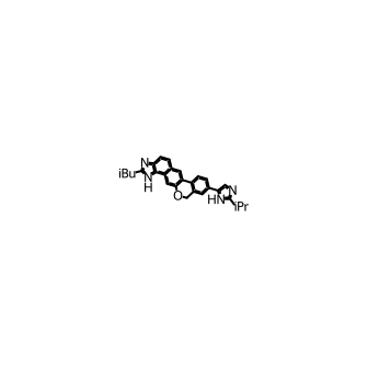 CCC(C)c1nc2ccc3cc4c(cc3c2[nH]1)OCc1cc(-c2cnc(C(C)C)[nH]2)ccc1-4